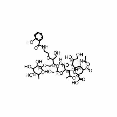 CC(=O)N[C@@H]1C(N=O)C[C@](OC(C)[C@@H](O)C(CO)O[C@H](CO)O[C@@H](CO[C@@H]2OC(C)[C@@H](O)C(O)[C@@H]2O)C(CO)OCCNC(=O)c2ccccc2O)(C(=O)O)OC1[C@H](O)[C@H](O)CO